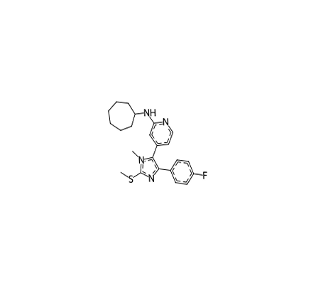 CSc1nc(-c2ccc(F)cc2)c(-c2ccnc(NC3CCCCCC3)c2)n1C